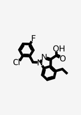 CCc1cccc2c1c(C(=O)O)nn2Cc1cc(F)ccc1Cl